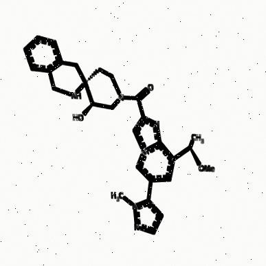 CO[C@H](C)c1cc(-c2ccnn2C)cn2cc(C(=O)N3CC[C@]4(Cc5ccccc5CN4)[C@H](O)C3)nc12